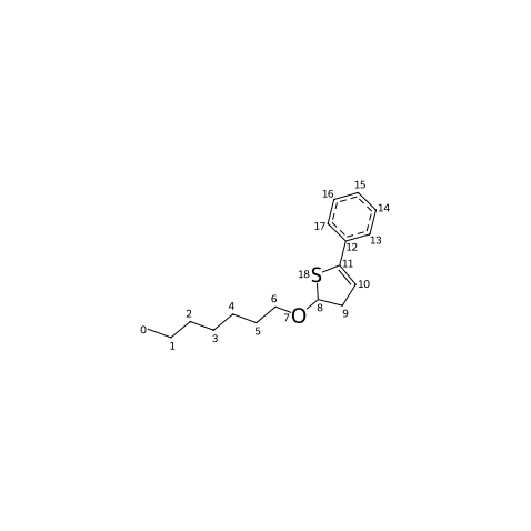 CCCCCCCOC1CC=C(c2ccccc2)S1